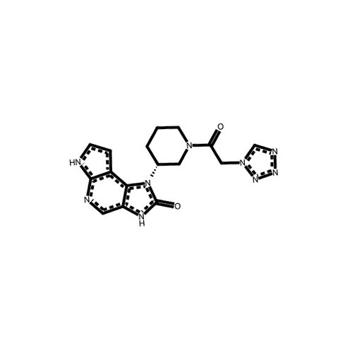 O=C(Cn1cnnn1)N1CCC[C@@H](n2c(=O)[nH]c3cnc4[nH]ccc4c32)C1